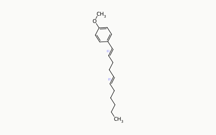 CCCCC/C=C/CC/C=C/c1ccc(OC)cc1